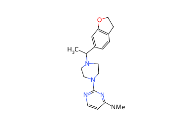 CNc1ccnc(N2CCN(C(C)c3ccc4c(c3)OCC4)CC2)n1